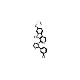 COc1ccc2c(c1)[nH]c1c(N3CCCC3c3cccc(Cl)c3)nccc12